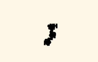 Cc1cc(CCc2cc(CCc3cc(C)[nH]n3)on2)sn1